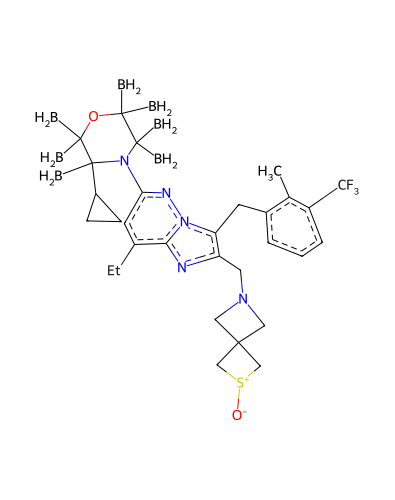 BC1(B)OC(B)(B)C(B)(C2CC2)N(c2cc(CC)c3nc(CN4CC5(C4)C[S+]([O-])C5)c(Cc4cccc(C(F)(F)F)c4C)n3n2)C1(B)B